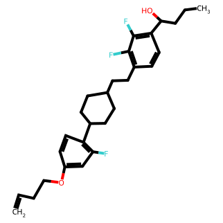 C=CCCOc1ccc(C2CCC(CCc3ccc(C(O)CCC)c(F)c3F)CC2)c(F)c1